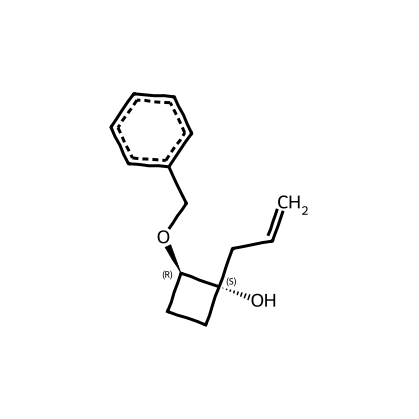 C=CC[C@@]1(O)CC[C@H]1OCc1ccccc1